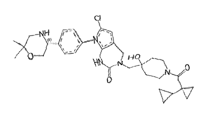 CC1(C)CN[C@H](c2ccc(-n3c(Cl)cc4c3NC(=O)N(CC3(O)CCN(C(=O)C5(C6CC6)CC5)CC3)C4)cc2)CO1